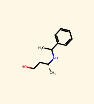 CC(N[C@H](C)CCO)c1ccccc1